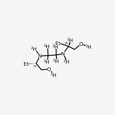 [2H]OC[C@H](CC)N([2H])C([2H])([2H])C([2H])([2H])N([2H])[C@]([2H])(CC)CO[2H]